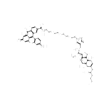 CCCCC(O)CC1=CC[C@]2(C)[C@](C)(CC[C@]3(C)[C@@H]([C@H](C)NCc4cn(CCOCCOCCOCCNC(=O)c5ccc(C(=O)O)c(-c6c7ccc(=N)cc-7oc7cc(N)ccc67)c5)nn4)CC[C@@]23C)C1